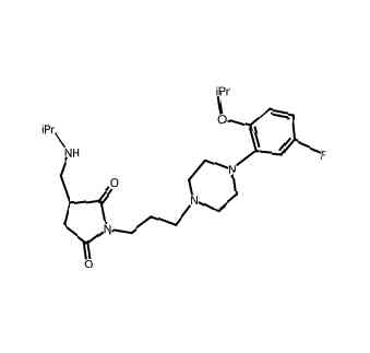 CC(C)NCC1CC(=O)N(CCCN2CCN(c3cc(F)ccc3OC(C)C)CC2)C1=O